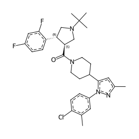 Cc1cc(C2CCN(C(=O)[C@@H]3CN(C(C)(C)C)C[C@H]3c3ccc(F)cc3F)CC2)n(-c2ccc(Cl)c(C)c2)n1